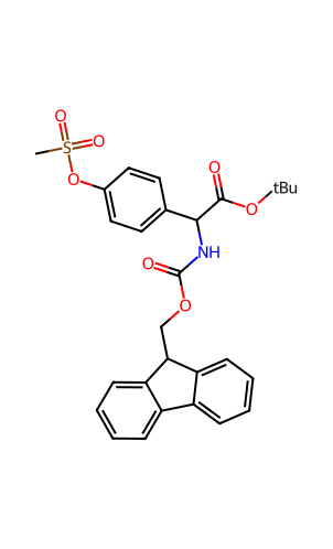 CC(C)(C)OC(=O)C(NC(=O)OCC1c2ccccc2-c2ccccc21)c1ccc(OS(C)(=O)=O)cc1